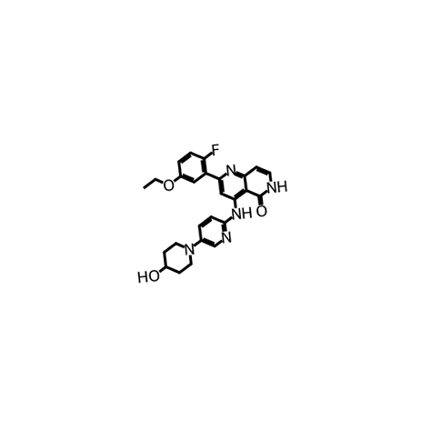 CCOc1ccc(F)c(-c2cc(Nc3ccc(N4CCC(O)CC4)cn3)c3c(=O)[nH]ccc3n2)c1